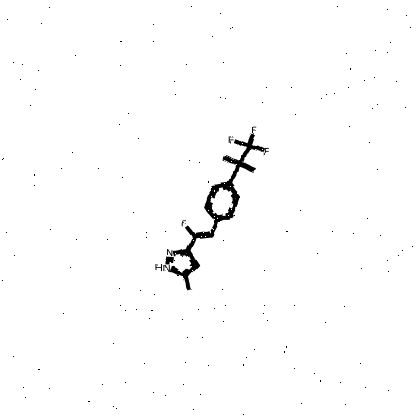 Cc1cc(C(F)=Cc2ccc(C(C)(C)C(F)(F)F)cc2)n[nH]1